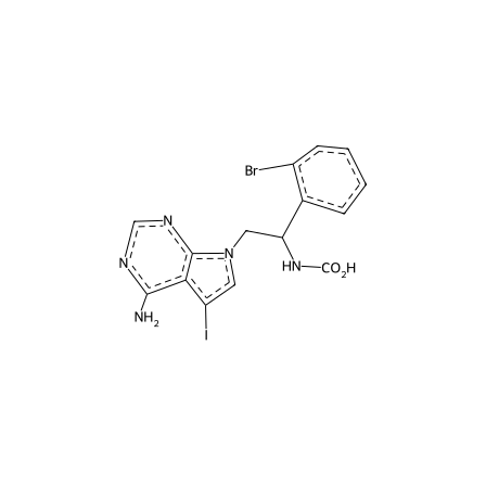 Nc1ncnc2c1c(I)cn2CC(NC(=O)O)c1ccccc1Br